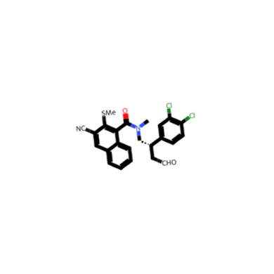 CSc1c(C#N)cc2ccccc2c1C(=O)N(C)C[C@@H](CC=O)c1ccc(Cl)c(Cl)c1